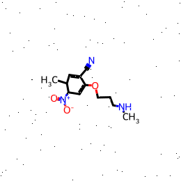 CNCCCOC1=CC([N+](=O)[O-])C(C)C=C1C#N